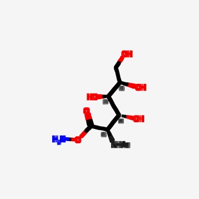 CC(=O)N[C@@H](C(=O)ON)[C@@H](O)[C@@H](O)[C@H](O)CO